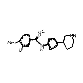 COc1ccc(C(=O)Nc2ccc([C@@H]3CCCNC3)cc2)cc1Cl.Cl